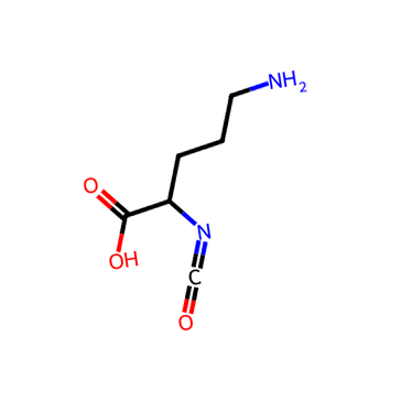 NCCCC(N=C=O)C(=O)O